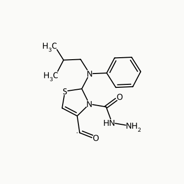 CC(C)CN(c1ccccc1)C1SC=C([C]=O)N1C(=O)NN